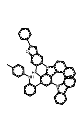 Cc1ccc(Nc2ccccc2-c2cc(-n3c4ccccc4c4ccccc43)c3c4c5ccccc5ccc4n4c3c2Bc2cc3oc(-c5ccccc5)cc3cc2-4)cc1